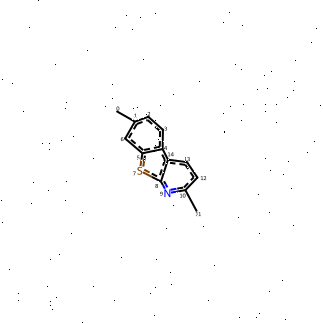 Cc1ccc2c(c1)sc1nc(C)ccc12